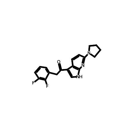 O=C(Cc1cccc(F)c1F)c1c[nH]c2nc(N3CCCC3)ccc12